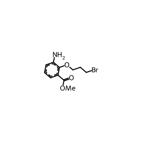 COC(=O)c1cccc(N)c1OCCCBr